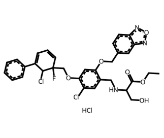 CCOC(=O)C(CO)NCc1cc(Cl)c(OCC2(F)C=CC=C(c3ccccc3)C2Cl)cc1OCc1ccc2nonc2c1.Cl